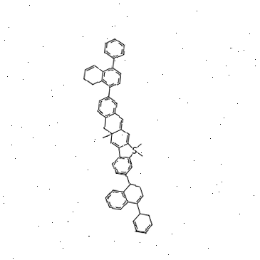 C[C@]12C=C3C(=CC1=Cc1cc(-c4ccc(-c5ccccc5)c5c4CCC=C5)ccc1C2)S(C)(C)c1cc(C2CC=C(C4C=CC=CC4)c4ccccc42)ccc13